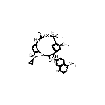 Cc1cc2ccc1[C@@H](C)COC(=O)Nc1ccc(S(=O)(=O)C3CC3)c(c1)CCC(=O)[C@@H]2Nc1ccc2c(N)ncc(F)c2c1